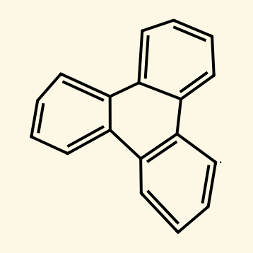 [c]1cccc2c1c1ccccc1c1ccccc21